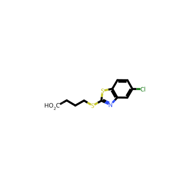 O=C(O)CCCSc1nc2cc(Cl)ccc2s1